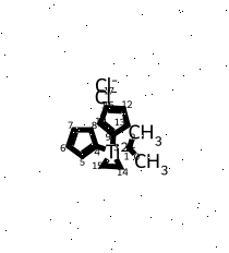 C[C](C)=[Ti+2]1([C]2=CC=CC2)([C]2=CC=CC2)[CH2][CH2]1.[Cl-].[Cl-]